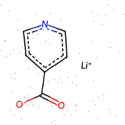 O=C([O-])c1ccncc1.[Li+]